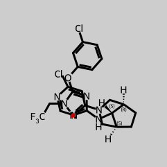 FC(F)(F)Cn1nc(N[C@@H]2[C@@H]3CC[C@H]2CN(c2cc(Cl)ncn2)C3)nc1Oc1cccc(Cl)c1